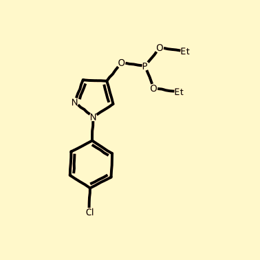 CCOP(OCC)Oc1cnn(-c2ccc(Cl)cc2)c1